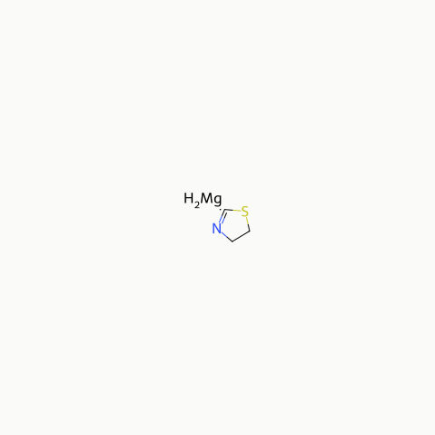 [C]1=NCCS1.[MgH2]